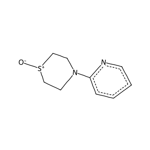 [O-][S+]1CCN(c2ccccn2)CC1